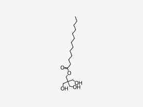 CCCCCCCCCCCCC(=O)OCC(CO)(CO)CO